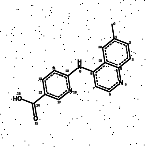 Cc1ccc2nccc(Nc3ccc(C(=O)O)cn3)c2c1